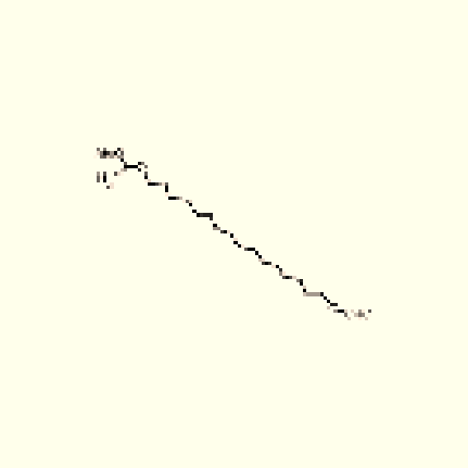 COC(C)OCCCCCCCCCCCCCCCCOC=O